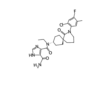 CCN(C(=O)c1nc[nH]c1C(N)=O)[C@H]1CC[C@@]2(CCCN(c3cc(C)c(F)cc3Cl)C2=O)CC1